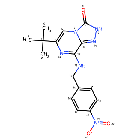 CC(C)(C)c1cn2c(=O)[nH]nc2c(NCc2ccc([N+](=O)[O-])cc2)n1